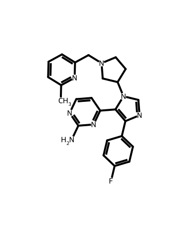 Cc1cccc(CN2CCC(n3cnc(-c4ccc(F)cc4)c3-c3ccnc(N)n3)C2)n1